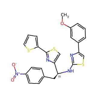 COc1cccc(-c2csc(N[C@@H](Cc3ccc([N+](=O)[O-])cc3)c3csc(-c4cccs4)n3)n2)c1